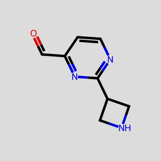 O=Cc1ccnc(C2CNC2)n1